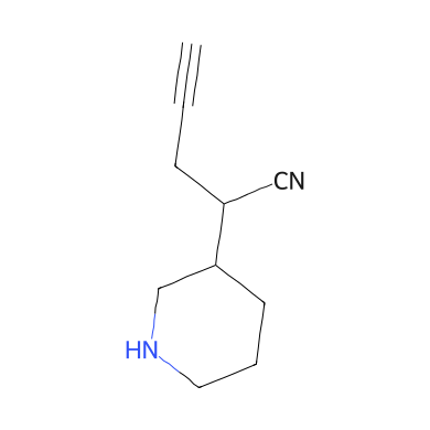 C#CCC(C#N)C1CCCNC1